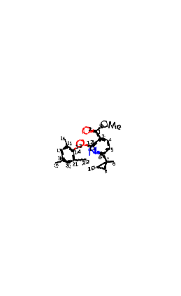 COC(=O)c1ccc(C2(C)CC2)nc1Oc1c(C)cc(C)cc1C